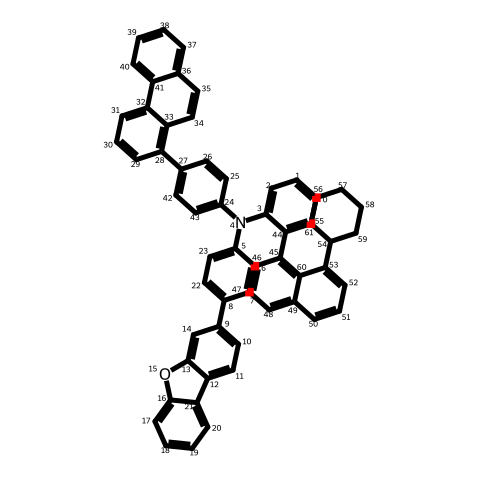 c1ccc(N(c2ccc(-c3ccc4c(c3)oc3ccccc34)cc2)c2ccc(-c3cccc4c3ccc3ccccc34)cc2)c(-c2cccc3cccc(C4CCCCC4)c23)c1